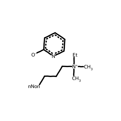 CCCCCCCCCCCC[N+](C)(C)CC.[O-]c1ccccn1